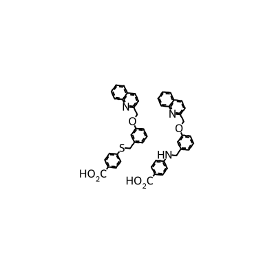 O=C(O)c1ccc(NCc2cccc(OCc3ccc4ccccc4n3)c2)cc1.O=C(O)c1ccc(SCc2cccc(OCc3ccc4ccccc4n3)c2)cc1